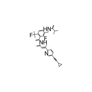 C=C(/C=C(\C)c1ccc(C#CC2CC2)cn1)NC(=C)c1c(C(C)(C)F)ccc(CNC(=C)C(C)C)c1F